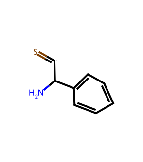 NC([C]=S)c1ccccc1